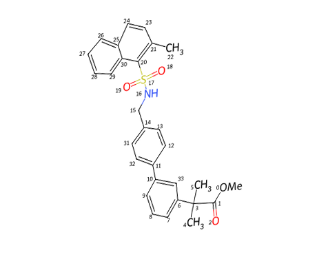 COC(=O)C(C)(C)c1cccc(-c2ccc(CNS(=O)(=O)c3c(C)ccc4ccccc34)cc2)c1